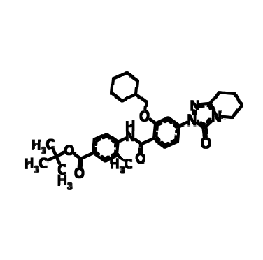 Cc1cc(C(=O)OC(C)(C)C)ccc1NC(=O)c1ccc(-n2nc3n(c2=O)CCCC3)cc1OCC1CCCCC1